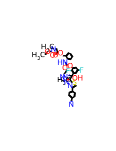 CCOC(=O)N(C)CC(=O)OCc1ccccc1NC(=O)OCC[N+]1(C[C@](O)(c2cc(F)ccc2F)[C@@H](C)c2nc(-c3ccc(C#N)cc3)cs2)C=NC=N1